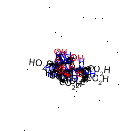 N[C@@H](CO)C(=O)N[C@@H](Cc1ccc(O)cc1)C(=O)N[C@@H](CCC(=O)O)C(=O)N[C@@H](CC(=O)O)C(=O)N[C@@H](CCC(=O)O)C(=O)N[C@@H](CC(=O)O)C(=O)N[C@@H](CCC(=O)O)C(=O)NCC(=O)N[C@@H](CCC(=O)O)C(=O)N[C@@H](CCC(=O)O)C(=O)O